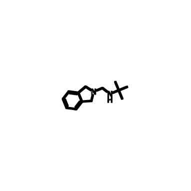 CC(C)(C)NCN1Cc2ccccc2C1